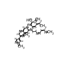 C=N/C=C\C=N/CCN(C(=C/C(=C\C)OC)/C(F)=C/O)c1ccc(/N=C\C(=N/C)c2cnn(C)c2)cn1